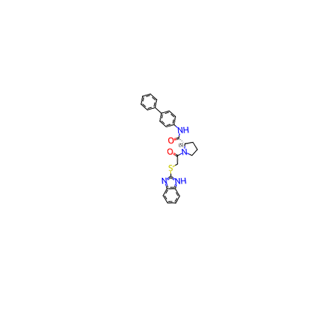 O=C(Nc1ccc(-c2ccccc2)cc1)[C@@H]1CCCN1C(=O)CSc1nc2ccccc2[nH]1